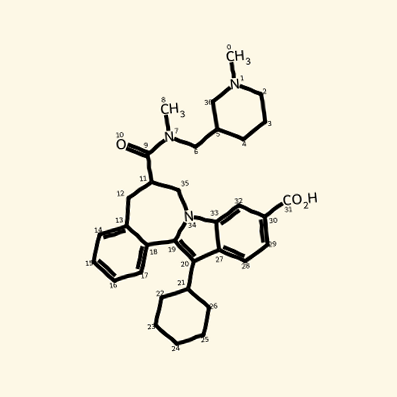 CN1CCCC(CN(C)C(=O)C2Cc3ccccc3-c3c(C4CCCCC4)c4ccc(C(=O)O)cc4n3C2)C1